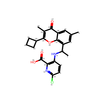 Cc1cc(C(C)Nc2ccc(Cl)nc2C(=O)O)c2oc(C3CCC3)c(C)c(=O)c2c1